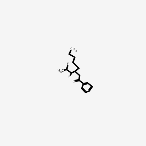 CCCCCC(CC(=O)c1ccccc1)C(F)C(C)F